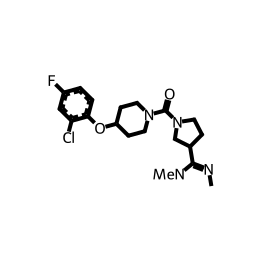 C/N=C(\NC)C1CCN(C(=O)N2CCC(Oc3ccc(F)cc3Cl)CC2)C1